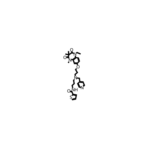 CCN1C(=O)C(C)(C)C(=O)N(C)c2cc(OCCCN(CCCNC(=O)c3cccs3)Cc3ccncc3)ccc21